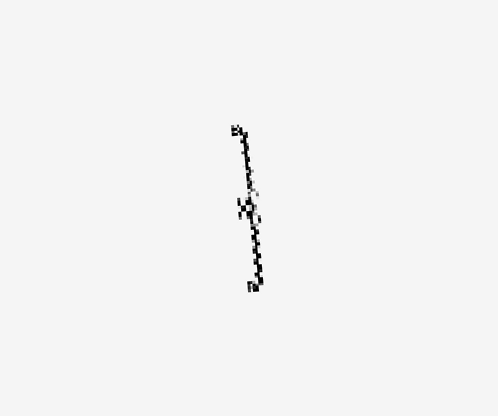 O=C(CC(=O)OCCCCCCCCCCBr)OCCCCCCCCCCBr